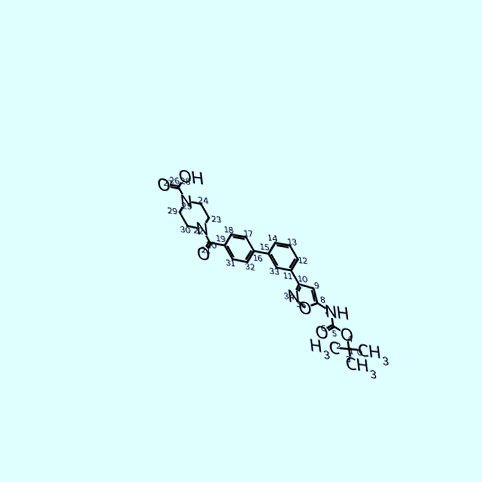 CC(C)(C)OC(=O)Nc1cc(-c2cccc(-c3ccc(C(=O)N4CCN(C(=O)O)CC4)cc3)c2)no1